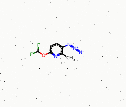 Cc1nc(OC(F)F)ccc1N=[N+]=[N-]